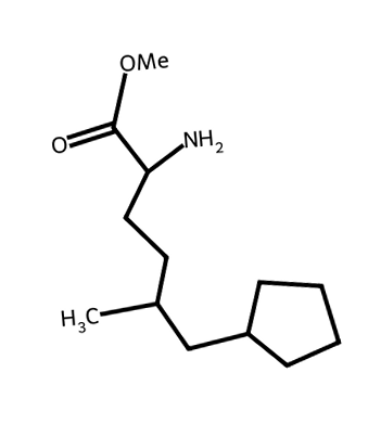 COC(=O)C(N)CCC(C)CC1CCCC1